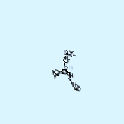 CC(C)NC(=O)N1CCC(CNc2cc(-c3ccnc(F)c3)cc3c2cnn3CCCN2CCOCC2)CC1